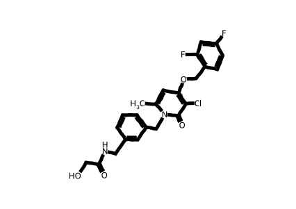 Cc1cc(OCc2ccc(F)cc2F)c(Cl)c(=O)n1Cc1cccc(CNC(=O)CO)c1